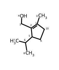 CC1=C(CO)C(C(C)C)CC1